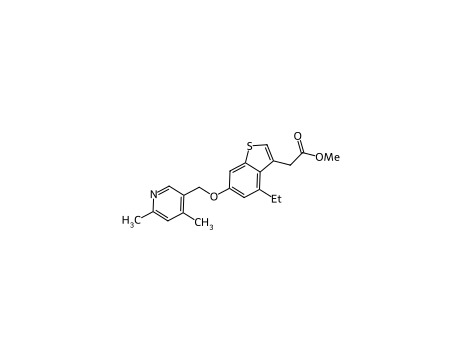 CCc1cc(OCc2cnc(C)cc2C)cc2scc(CC(=O)OC)c12